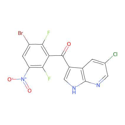 O=C(c1c(F)c(Br)cc([N+](=O)[O-])c1F)c1c[nH]c2ncc(Cl)cc12